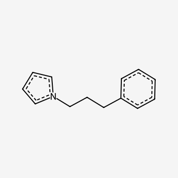 c1ccc(CCCn2cccc2)cc1